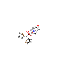 CN1C2CC(OC(=O)C(C3=CCCS3)c3cccs3)CC1C1OC12